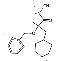 CC(CC1CCCCC1)(OCc1ccccc1)C(=O)NC#N